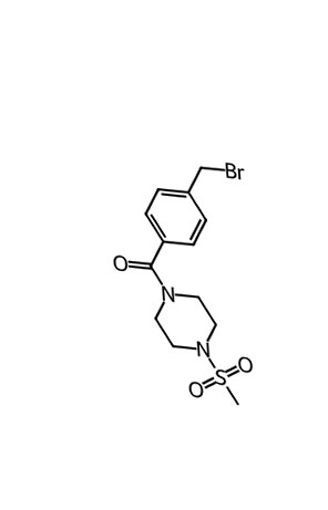 CS(=O)(=O)N1CCN(C(=O)c2ccc(CBr)cc2)CC1